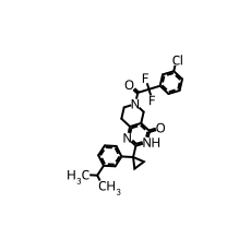 CC(C)c1cccc(C2(c3nc4c(c(=O)[nH]3)CN(C(=O)C(F)(F)c3cccc(Cl)c3)CC4)CC2)c1